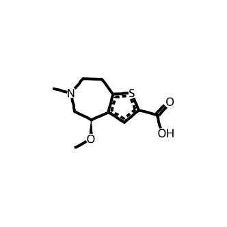 CO[C@H]1CN(C)CCc2sc(C(=O)O)cc21